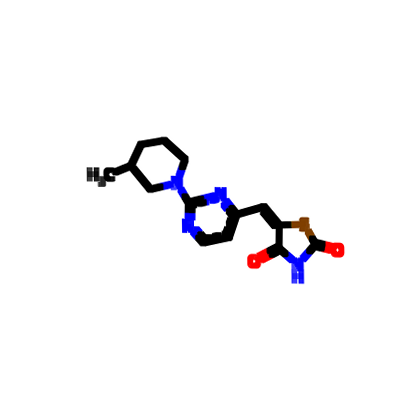 CC1CCCN(c2nccc(C=C3SC(=O)NC3=O)n2)C1